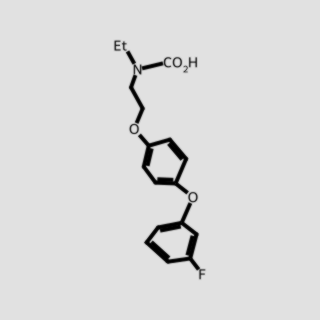 CCN(CCOc1ccc(Oc2cccc(F)c2)cc1)C(=O)O